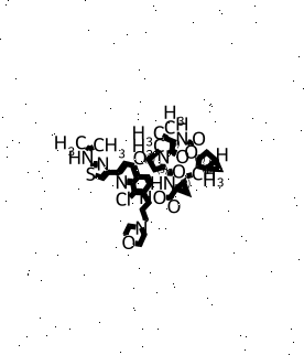 CC[C@@H]1C[C@]1(NC(=O)[C@@H]1C[C@@H](Oc2cc(-c3csc(NC(C)C)n3)nc3c(Cl)c(CCCN4CCOCC4)ccc23)CN1C(=O)[C@@H](NC(=O)O[C@@H]1C[C@@H]2C[C@@H]2C1)C(C)(C)C)C(=O)O